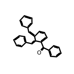 O=C(c1ccccc1)c1cccc(=Cc2ccccc2)c1=Cc1ccccc1